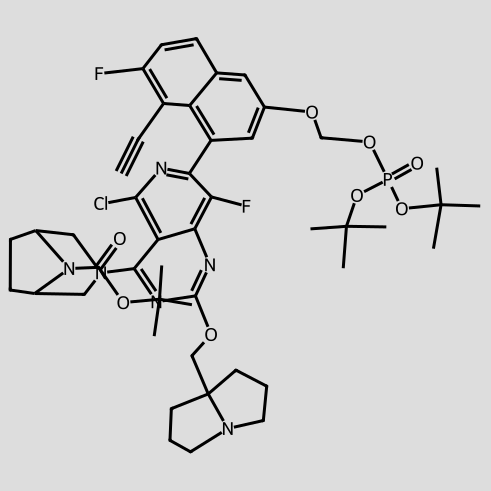 C#Cc1c(F)ccc2cc(OCOP(=O)(OC(C)(C)C)OC(C)(C)C)cc(-c3nc(Cl)c4c(N5CC6CCC(C5)N6C(=O)OC(C)(C)C)nc(OCC56CCCN5CCC6)nc4c3F)c12